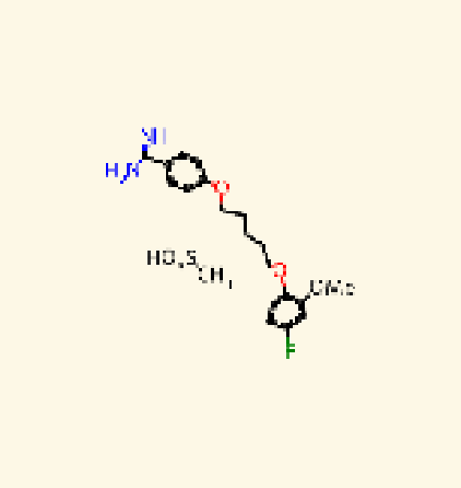 COc1cc(F)ccc1OCCCCCOc1ccc(C(=N)N)cc1.CS(=O)(=O)O